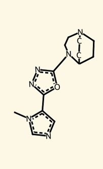 Cn1cncc1-c1nnc(N2CCN3CCC2CC3)o1